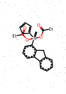 [CH2]=[Ti]([O]C(=O)CC)([O]C(=O)CC)([C]1=CC=CC1)[c]1cccc2c1Cc1ccccc1-2